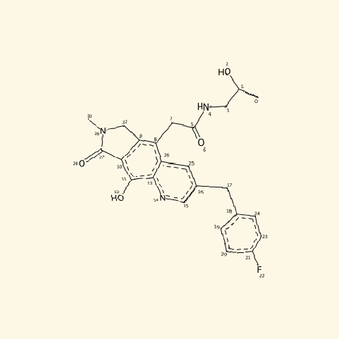 CC(O)CNC(=O)Cc1c2c(c(O)c3ncc(Cc4ccc(F)cc4)cc13)C(=O)N(C)C2